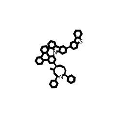 C=C1/C=C(c2ccccc2)\N=C(\c2ccccc2)CC=C=C1c1cc(-n2c3ccccc3c3cc(-c4ccc5sc6ccccc6c5c4)ccc32)c2c3ccccc3c3ccccc3c2c1